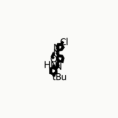 CC(C)(C)c1ccc2[nH]c(-c3cccc4c3OCCN4c3ccc(Cl)cn3)nc2c1